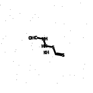 O=CNNSC=S.[KH]